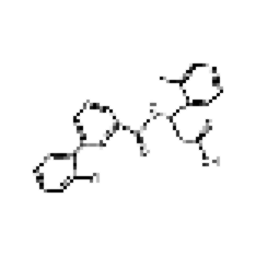 Cc1ccccc1C(CC(=O)O)NC(=O)c1cccc(-c2ccccc2Cl)n1